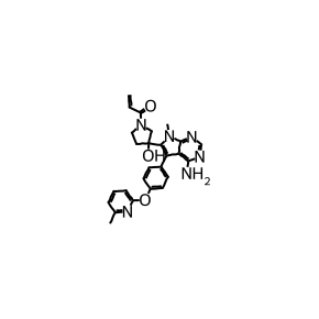 C=CC(=O)N1CCC(O)(c2c(-c3ccc(Oc4cccc(C)n4)cc3)c3c(N)ncnc3n2C)C1